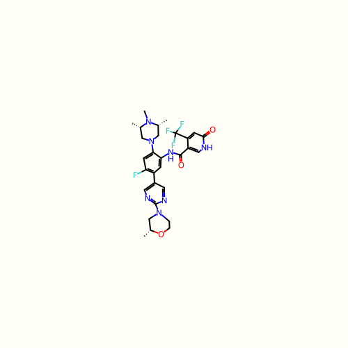 C[C@@H]1CN(c2ncc(-c3cc(NC(=O)c4c[nH]c(=O)cc4C(F)(F)F)c(N4C[C@@H](C)N(C)[C@@H](C)C4)cc3F)cn2)CCO1